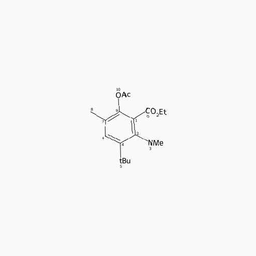 CCOC(=O)c1c(NC)c(C(C)(C)C)cc(C)c1OC(C)=O